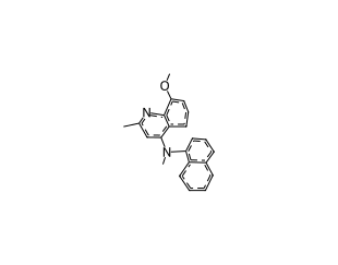 COc1cccc2c(N(C)c3cccc4ccccc34)cc(C)nc12